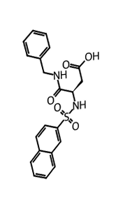 O=C(O)C[C@@H](NS(=O)(=O)c1ccc2ccccc2c1)C(=O)NCc1ccccc1